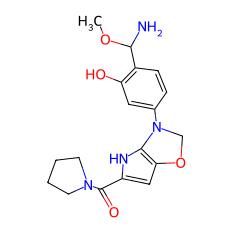 COC(N)c1ccc(N2COc3cc(C(=O)N4CCCC4)[nH]c32)cc1O